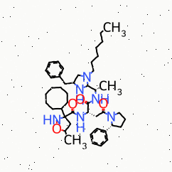 CCCCCCCN1CC(Cc2ccccc2)NC1[C@H](C)NC(=O)[C@H](CC(=O)N1CCC[C@@H]1c1ccccc1)NC(=O)C1(C2CCCCCCC2)CC(C)ON1